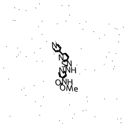 COC(=O)Nc1ccnc(Nc2nc3ccc(-c4ccncc4)nc3s2)c1